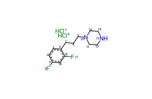 Cl.Cl.Fc1ccc(CCCN2CCNCC2)c(F)c1